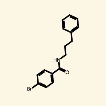 O=C(NCCCc1ccccc1)c1ccc(Br)cc1